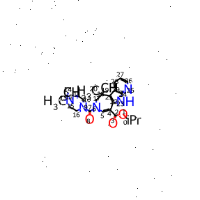 CC(C)OC(=O)C1=CN(C(=O)N2CC[N+](C)(C)CC2)CC(C)(C)c2c1[nH]c1ncccc21